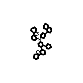 c1ccc(-c2cc(N(c3ccc(-c4cccc5ccccc45)cc3)c3cccc4c3sc3ccccc34)ccc2-c2cccc3c2oc2ccccc23)cc1